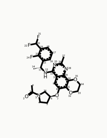 CC(=O)N1CC[C@H](Oc2cc3c(N[C@H](C)c4cccc(C(F)F)c4F)nc(C)nc3c3c2OCCO3)C1